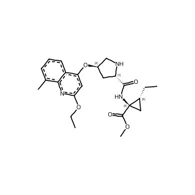 CCOc1cc(O[C@H]2CN[C@H](C(=O)N[C@]3(C(=O)OC)C[C@H]3CC)C2)c2cccc(C)c2n1